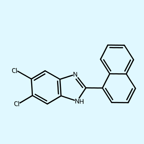 Clc1cc2nc(-c3cccc4ccccc34)[nH]c2cc1Cl